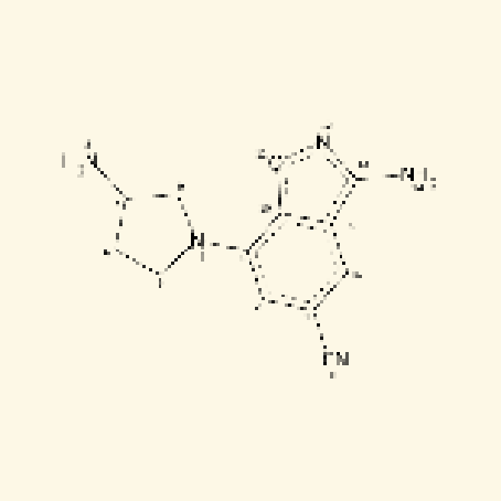 N#Cc1cc(N2CCC(N)C2)c2onc(N)c2c1